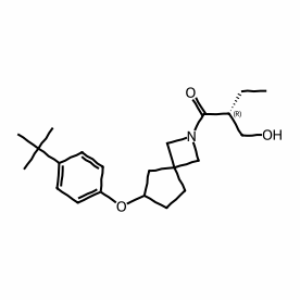 CC[C@H](CO)C(=O)N1CC2(CCC(Oc3ccc(C(C)(C)C)cc3)C2)C1